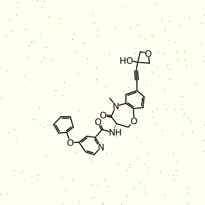 CN1C(=O)[C@@H](NC(=O)c2cc(Oc3ccccc3)ccn2)COc2ccc(C#CC3(O)COC3)cc21